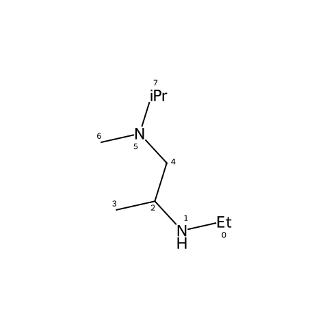 CCNC(C)CN(C)C(C)C